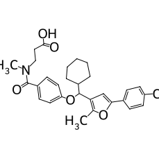 Cc1oc(-c2ccc(Cl)cc2)cc1C(Oc1ccc(C(=O)N(C)CCC(=O)O)cc1)C1CCCCC1